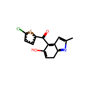 CC1=[C]C2=C(C(=O)c3ccc(Cl)s3)C(O)=CCC2=N1